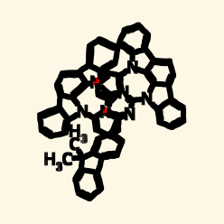 CC1(C)c2ccccc2-c2ccc(-c3nc(-n4c5ccccc5c5ccc6c7ccccc7n(-c7ccccc7)c6c54)nc(-n4c5ccccc5c5ccc6c7ccccc7n(-c7ccccc7)c6c54)n3)cc21